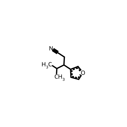 CC(C)C(CC#N)c1ccoc1